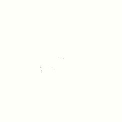 CCCCCCN(CC(=O)OC)CC(=O)OC